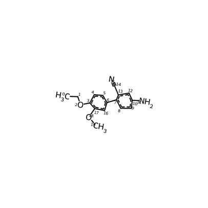 CCOc1ccc(-c2ccc(N)cc2C#N)cc1OC